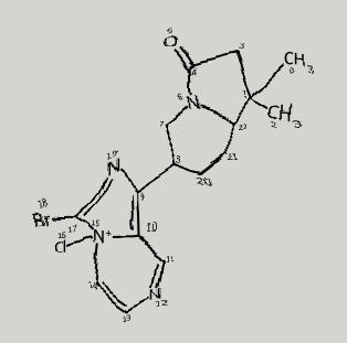 CC1(C)CC(=O)N2CC(C3=C4C=NC=C[N+]4(Cl)C(Br)=N3)CCC21